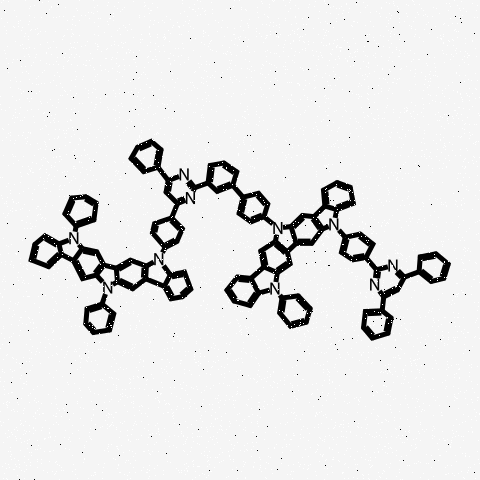 c1ccc(-c2cc(-c3ccccc3)nc(-c3ccc(-n4c5ccccc5c5cc6c(cc54)c4cc5c(cc4n6-c4ccc(-c6cccc(-c7nc(-c8ccccc8)cc(-c8ccc(-n9c%10ccccc%10c%10cc%11c(cc%109)c9cc%10c(cc9n%11-c9ccccc9)c9ccccc9n%10-c9ccccc9)cc8)n7)c6)cc4)c4ccccc4n5-c4ccccc4)cc3)n2)cc1